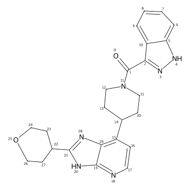 O=C(c1n[nH]c2ccccc12)N1CCC(c2ccnc3[nH]c(C4CCOCC4)nc23)CC1